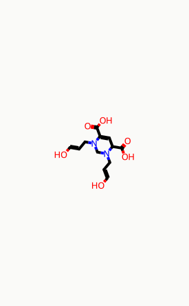 O=C(O)C1=CC(C(=O)O)N(CC=CO)CN1CC=CO